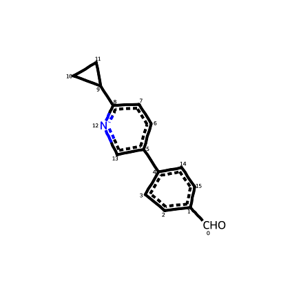 O=Cc1ccc(-c2ccc(C3CC3)nc2)cc1